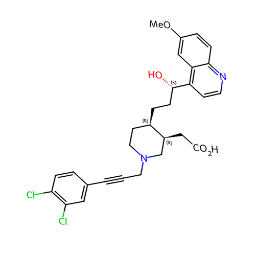 COc1ccc2nccc([C@@H](O)CC[C@@H]3CCN(CC#Cc4ccc(Cl)c(Cl)c4)C[C@@H]3CC(=O)O)c2c1